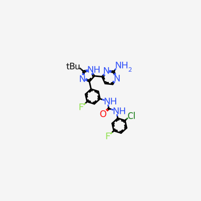 CC(C)(C)c1nc(-c2cc(F)cc(NC(=O)Nc3cc(F)ccc3Cl)c2)c(-c2ccnc(N)n2)[nH]1